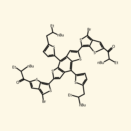 CCCCC(CC)Cc1ccc(-c2c3cc(-c4sc(Br)c5cc(C(=O)C(CC)CCCC)sc45)sc3c(-c3ccc(CC(CC)CCCC)s3)c3cc(-c4sc(Br)c5cc(C(=O)C(CC)CCCC)sc45)sc23)s1